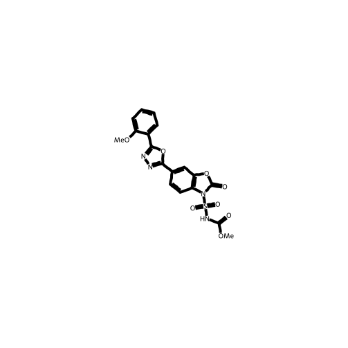 COC(=O)NS(=O)(=O)n1c(=O)oc2cc(-c3nnc(-c4ccccc4OC)o3)ccc21